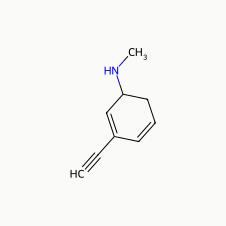 C#CC1=CC(NC)CC=C1